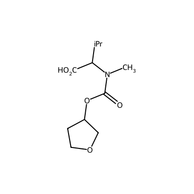 CC(C)C(C(=O)O)N(C)C(=O)OC1CCOC1